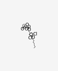 CCCCCCCOc1c(Cl)cc(COC(=O)ON2C(=O)CCC2=O)cc1Cl